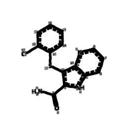 NC(=O)c1[nH]c2cccnc2c1Sc1ccccc1Cl